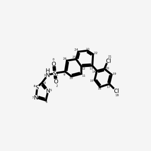 O=S(=O)(Nc1ncns1)c1ccc2c(-c3ccc(Cl)cc3Cl)cccc2c1